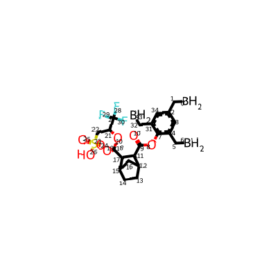 BCc1cc(CB)c(OC(=O)C2C3CCC(C3)C2C(=O)OC(CS(=O)(=O)O)C(F)(F)F)c(CB)c1